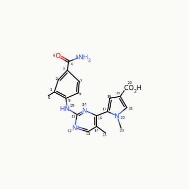 Cc1cc(C(N)=O)ccc1Nc1ncc(C)c(-c2cc(C(=O)O)cn2C)n1